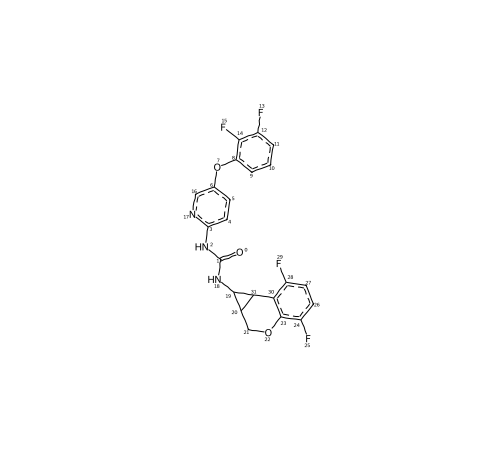 O=C(Nc1ccc(Oc2cccc(F)c2F)cn1)NC1C2COc3c(F)ccc(F)c3C21